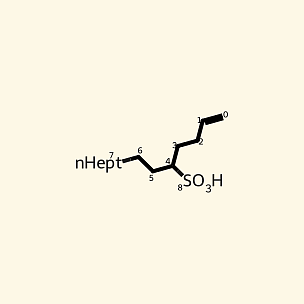 C=CCCC(CCCCCCCCC)S(=O)(=O)O